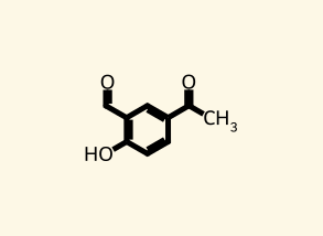 CC(=O)c1ccc(O)c(C=O)c1